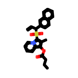 C=CC(c1ccc2ccccc2c1)S(=O)(=O)c1c(C)c(OC(=O)CCC)c2ccccn12